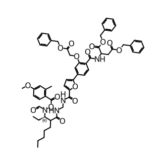 CCCCCC(C(=O)NCNC(=O)c1ccc(-c2ccc(C(=O)NC(CC(=O)OCc3ccccc3)C(=O)OCc3ccccc3)c(OCC(=O)OCc3ccccc3)c2)o1)[C@@H](CC)N(C=O)OC(=O)c1ccc(OC)cc1C